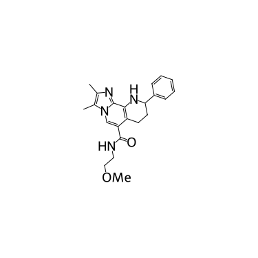 COCCNC(=O)c1cn2c(C)c(C)nc2c2c1CCC(c1ccccc1)N2